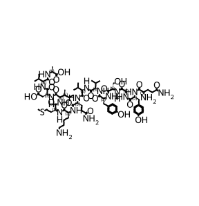 CC[C@H](C)[C@H](NC(=O)[C@H](CCSC)NC(=O)[C@H](CCCCN)NC(=O)[C@H](CCC(N)=O)NC(=O)[C@@H](NC(=O)[C@@H](NC(=O)[C@H](Cc1ccc(O)cc1)NC(=O)[C@H](CO)NC(=O)[C@H](C)NC(=O)[C@H](Cc1ccc(O)cc1)NC(=O)[C@@H](N)CCC(N)=O)C(C)C)C(C)C)C(=O)N[C@@H](CC(=O)O)C(=O)N[C@H](C(=O)N[C@@H](C)C(=O)O)C(C)C